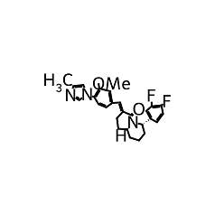 COc1cc(/C=C2\CC[C@@H]3CCC[C@@H](c4ccc(F)c(F)c4)N3C2=O)ccc1-n1cnc(C)c1